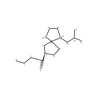 CCCC(=O)N1CCC2(C1)SCCN2CC(C)C